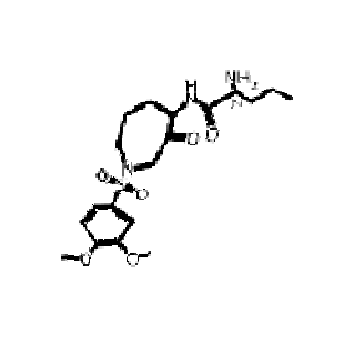 CCC[C@H](N)C(=O)NC1CCCN(S(=O)(=O)c2ccc(OC)c(OC)c2)CC1=O